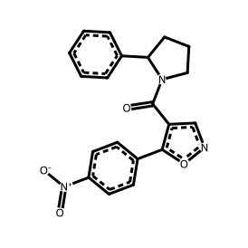 O=C(c1cnoc1-c1ccc([N+](=O)[O-])cc1)N1CCCC1c1ccccc1